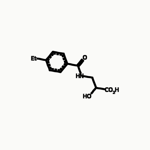 CCc1ccc(C(=O)NCC(O)C(=O)O)cc1